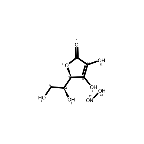 O=C1O[C@H]([C@@H](O)CO)C(O)=C1O.O=NO